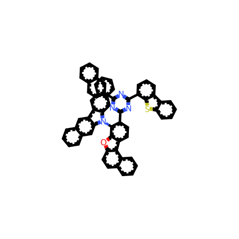 c1ccc2cc(-c3nc(-c4ccc5c(oc6ccc7ccccc7c65)c4-n4c5cc6ccccc6cc5c5cc6ccccc6cc54)nc(-c4cccc5c4sc4ccccc45)n3)ccc2c1